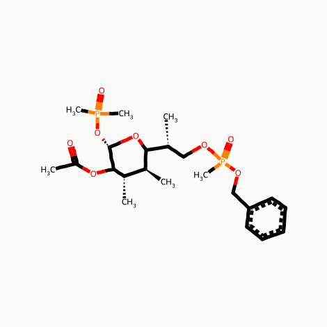 CC(=O)OC1[C@H](OP(C)(C)=O)OC([C@H](C)COP(C)(=O)OCc2ccccc2)[C@@H](C)[C@@H]1C